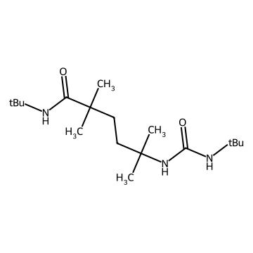 CC(C)(C)NC(=O)NC(C)(C)CCC(C)(C)C(=O)NC(C)(C)C